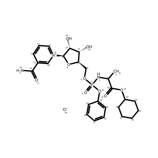 CC(NP(=O)(OC[C@H]1O[C@@H]([n+]2cccc(C(N)=O)c2)[C@H](O)[C@@H]1O)Oc1ccccc1)C(=O)OC1CCCCC1.[Cl-]